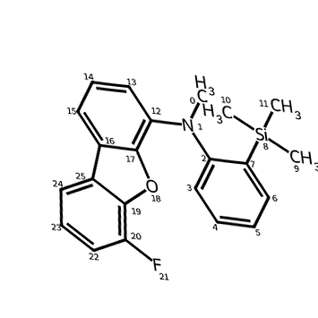 CN(c1ccccc1[Si](C)(C)C)c1cccc2c1oc1c(F)cccc12